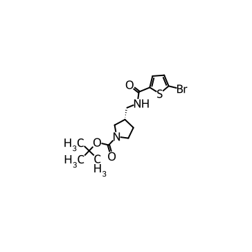 CC(C)(C)OC(=O)N1CC[C@@H](CNC(=O)c2ccc(Br)s2)C1